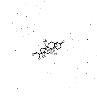 C[C@]12CCC(=O)C=C1CC[C@@H]1[C@@H]2[C@@H](O)C[C@@]2(C)[C@H]1CC[C@]2(O)C(=O)C=O.O